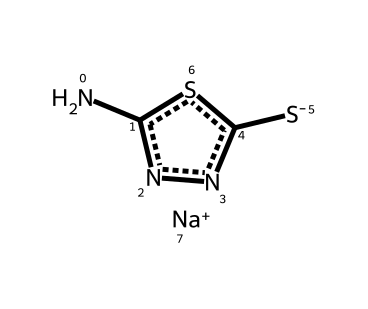 Nc1nnc([S-])s1.[Na+]